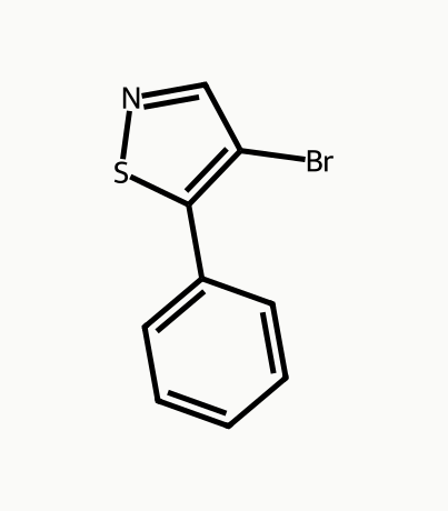 Brc1cnsc1-c1ccccc1